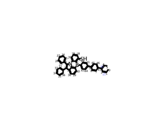 C/C=C\C(=C/C)c1ccc(-c2ccc(B3c4c(S)cccc4-n4c(-c5ccccc5)c(-c5ccccc5)c5cccc3c54)cc2)cc1